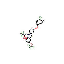 Cc1cc(OC2CCCC(Cc3cccc(OC(F)(F)F)c3)(NCC(O)C(F)(F)F)C2)ccc1Cl